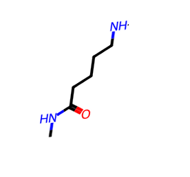 CNC(=O)CCCC[NH]